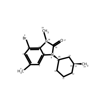 Cc1cc(Br)c2c(c1)n([C@@H]1CCC[C@H](C)C1)c(=O)n2C